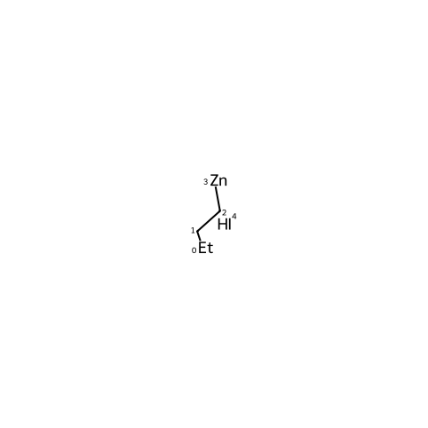 CCC[CH2][Zn].I